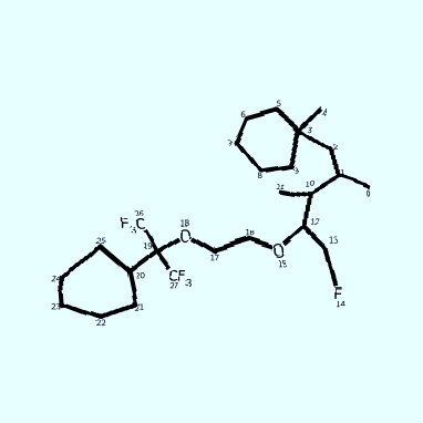 CC(CC1(C)CCCCC1)C(C)C(CF)OCCOC(C1CCCCC1)(C(F)(F)F)C(F)(F)F